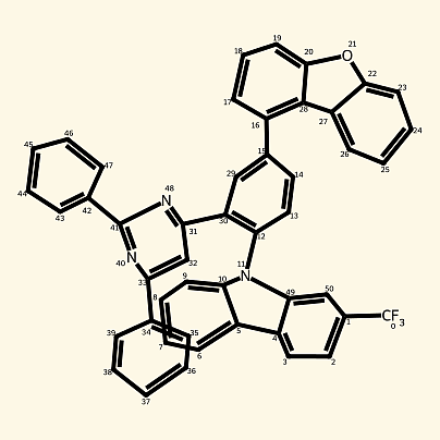 FC(F)(F)c1ccc2c3ccccc3n(-c3ccc(-c4cccc5oc6ccccc6c45)cc3-c3cc(-c4ccccc4)nc(-c4ccccc4)n3)c2c1